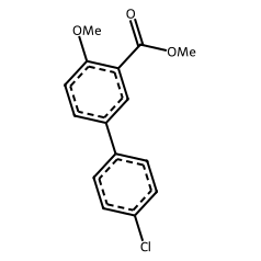 COC(=O)c1cc(-c2ccc(Cl)cc2)ccc1OC